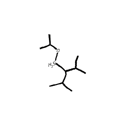 CC(C)O[SiH2]C(C(C)C)C(C)C